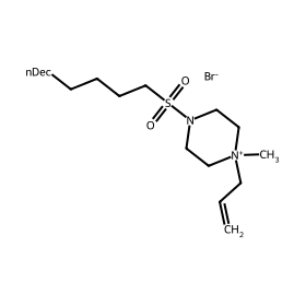 C=CC[N+]1(C)CCN(S(=O)(=O)CCCCCCCCCCCCCC)CC1.[Br-]